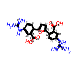 N=C(N)Nc1ccc(-c2ccc(-c3ccc(NC(=N)N)cc3C(=O)O)o2)c(C(=O)O)c1